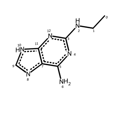 CCNc1nc(N)c2nc[nH]c2n1